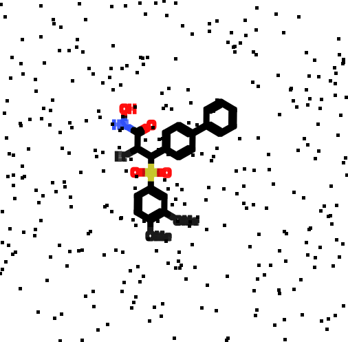 CCC(C(=O)NO)C(c1ccc(-c2ccccc2)cc1)S(=O)(=O)c1ccc(OC)c(OC)c1